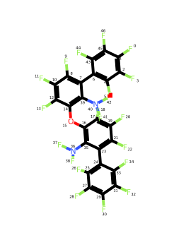 Fc1c(F)c(F)c(-c2c(F)c(F)c(F)c(Oc3c(F)c(F)c(F)c(-c4c(F)c(F)c(F)c(F)c4F)c3N(F)F)c2N(F)F)c(F)c1F